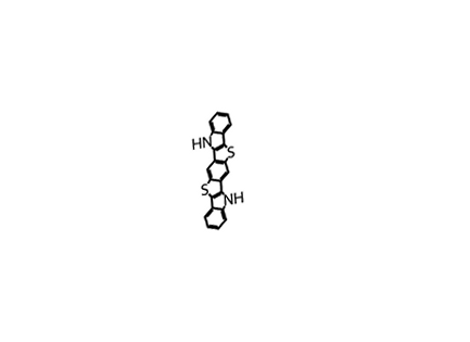 c1ccc2c(c1)[nH]c1c3cc4sc5c6ccccc6[nH]c5c4cc3sc21